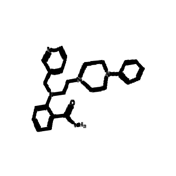 NC(=O)c1ccccc1N(CCN1CCN(c2ccccc2)CC1)Cc1cccnc1